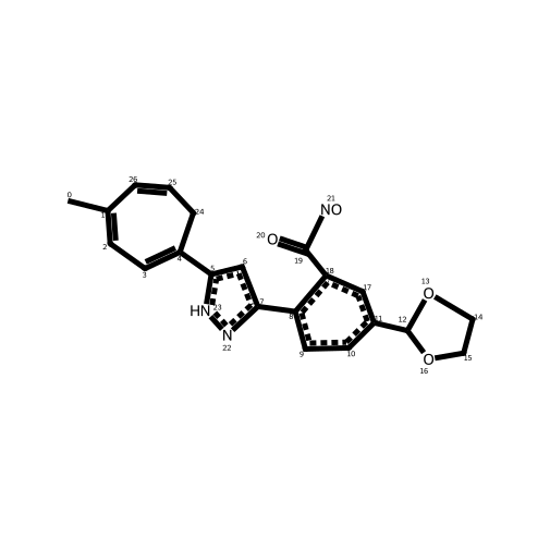 CC1=CC=C(c2cc(-c3ccc(C4OCCO4)cc3C(=O)N=O)n[nH]2)CC=C1